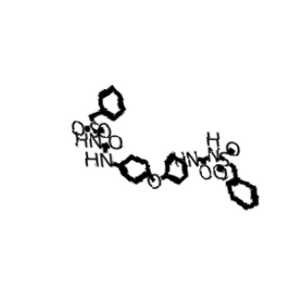 O=C(Nc1ccc(Oc2ccc(NC(=O)NS(=O)(=O)Cc3ccccc3)cc2)cc1)NS(=O)(=O)Cc1ccccc1